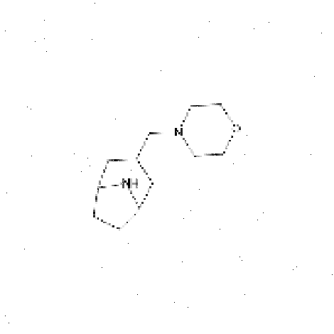 C1CN(CC2CC3CCC(C2)N3)CCO1